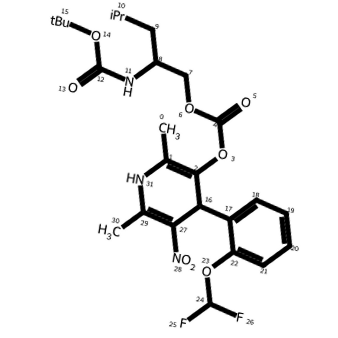 CC1=C(OC(=O)OCC(CC(C)C)NC(=O)OC(C)(C)C)C(c2ccccc2OC(F)F)C([N+](=O)[O-])=C(C)N1